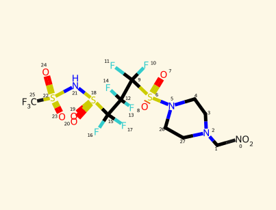 O=[N+]([O-])CN1CCN(S(=O)(=O)C(F)(F)C(F)(F)C(F)(F)S(=O)(=O)NS(=O)(=O)C(F)(F)F)CC1